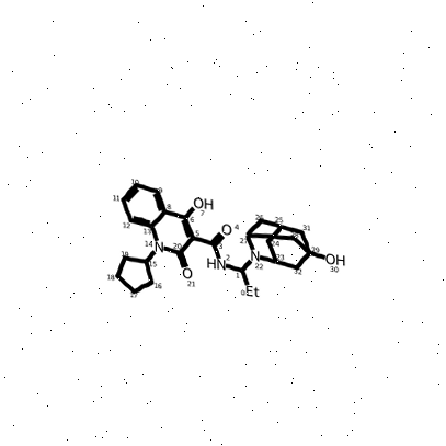 CCC(NC(=O)c1c(O)c2ccccc2n(C2CCCC2)c1=O)N1C2CC3CC1CC(O)(C3)C2